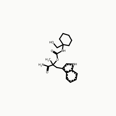 CC(Cc1c[nH]c2ccccc12)(OC(=O)NC1(CO)CCCCC1)C(N)=O